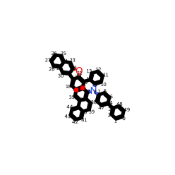 c1ccc(-c2ccc(N(c3ccccc3-c3cccc4c3oc3cc5ccccc5cc34)c3cccc4c3ccc3ccccc34)cc2)cc1